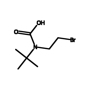 CC(C)(C)N(CCBr)C(=O)O